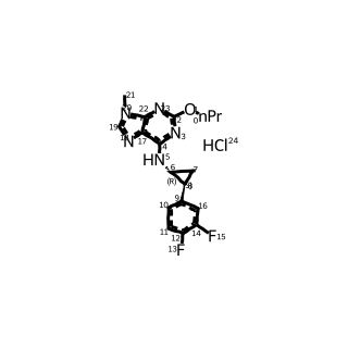 CCCOc1nc(N[C@@H]2C[C@H]2c2ccc(F)c(F)c2)c2ncn(C)c2n1.Cl